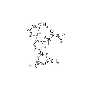 Cc1cc(-c2ccc(N3C[C@@H](C)O[C@@H](C)C3)cc2CNC(=O)C2CC2)ccn1